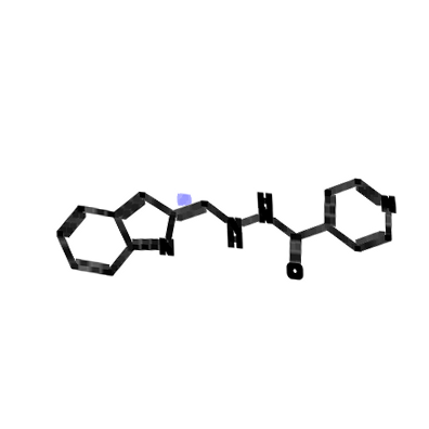 O=C(NN/C=C1/C=c2ccccc2=N1)c1ccncc1